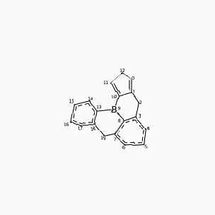 C1=C2Cc3cccc4c3B(C2=CC1)c1ccccc1C4